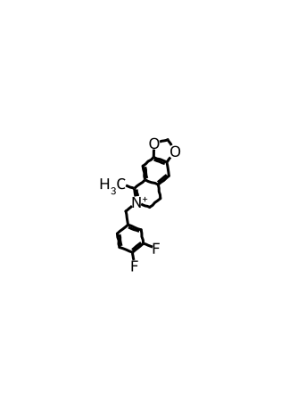 CC1=[N+](Cc2ccc(F)c(F)c2)CCc2cc3c(cc21)OCO3